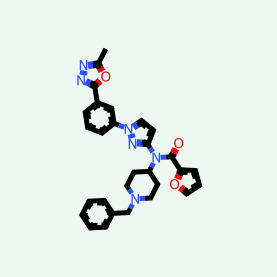 Cc1nnc(-c2cccc(-n3ccc(N(C(=O)c4ccco4)C4CCN(Cc5ccccc5)CC4)n3)c2)o1